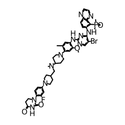 COc1cc(N2CCC(N(C)CC3CCN(c4ccc(N5CCC(=O)NC5=O)c(F)c4)CC3)CC2)c(C)cc1Nc1ncc(Br)c(Nc2ccc3nccnc3c2P(C)(C)=O)n1